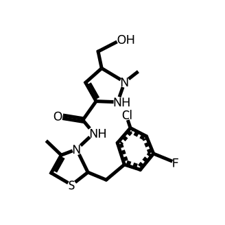 CC1=CSC(Cc2cc(F)cc(Cl)c2)N1NC(=O)C1=CC(CO)N(C)N1